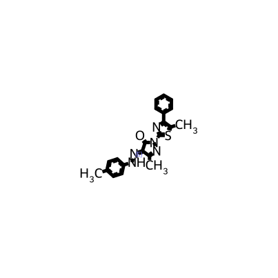 CC1=NN(c2nc(-c3ccccc3)c(C)s2)C(=O)/C1=N/Nc1ccc(C)cc1